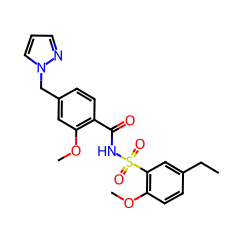 CCc1ccc(OC)c(S(=O)(=O)NC(=O)c2ccc(Cn3cccn3)cc2OC)c1